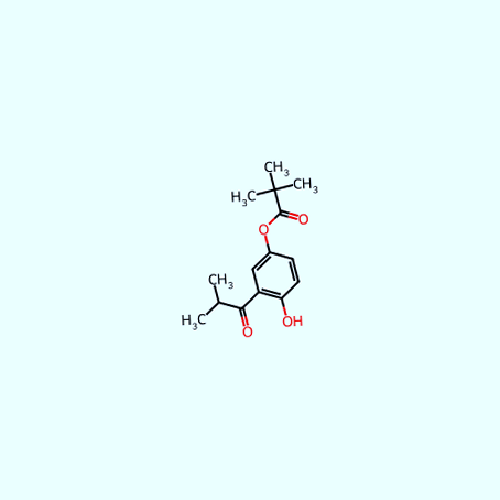 CC(C)C(=O)c1cc(OC(=O)C(C)(C)C)ccc1O